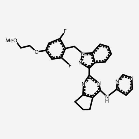 COCCOc1cc(F)c(Cn2nc(-c3nc4c(c(Nc5ccncn5)n3)CCC4)c3ccccc32)c(F)c1